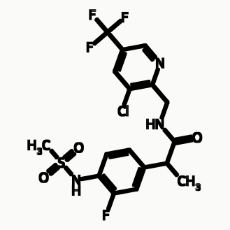 CC(C(=O)NCc1ncc(C(F)(F)F)cc1Cl)c1ccc(NS(C)(=O)=O)c(F)c1